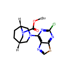 CC(C)(C)OC(=O)N1C[C@H]2CC[C@@H]1CN(c1nc(Cl)nc3scnc13)C2